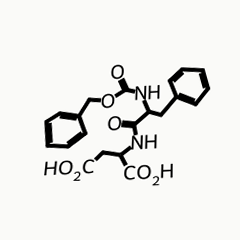 O=C(O)CC(NC(=O)C(Cc1ccccc1)NC(=O)OCc1ccccc1)C(=O)O